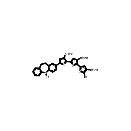 CCCCCCc1cc(-c2sc(-c3sc(-c4ccc5c(c4)CCc4ccccc4N5CC)cc3CCCCCC)cc2CCCCCC)sc1Br